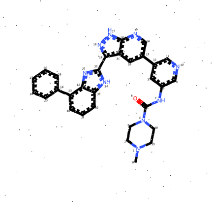 CN1CCN(C(=O)Nc2cncc(-c3cnc4[nH]nc(-c5nc6c(-c7ccccc7)cccc6[nH]5)c4c3)c2)CC1